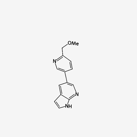 COCc1ccc(-c2cnc3[nH]ccc3c2)cn1